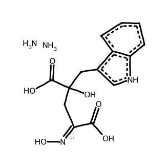 N.N.O=C(O)/C(CC(O)(Cc1c[nH]c2ccccc12)C(=O)O)=N/O